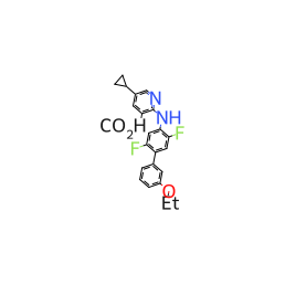 CCOc1cccc(-c2cc(F)c(Nc3ncc(C4CC4)cc3C(=O)O)cc2F)c1